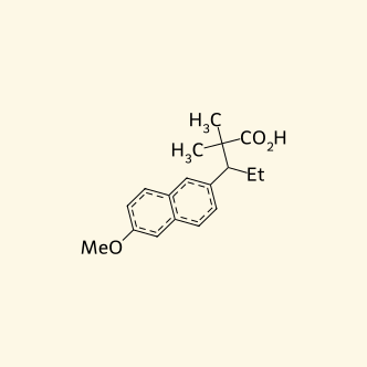 CCC(c1ccc2cc(OC)ccc2c1)C(C)(C)C(=O)O